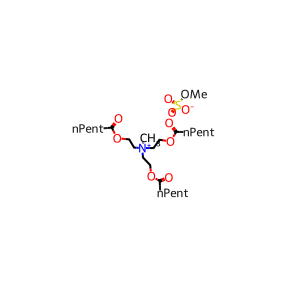 CCCCCC(=O)OCC[N+](C)(CCOC(=O)CCCCC)CCOC(=O)CCCCC.COS(=O)(=O)[O-]